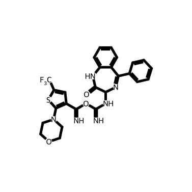 N=C(NC1N=C(c2ccccc2)c2ccccc2NC1=O)OC(=N)c1cc(C(F)(F)F)sc1N1CCOCC1